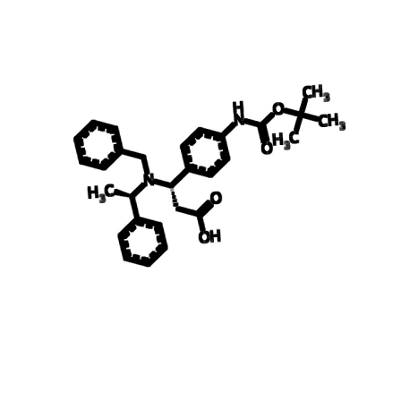 C[C@H](c1ccccc1)N(Cc1ccccc1)[C@@H](CC(=O)O)c1ccc(NC(=O)OC(C)(C)C)cc1